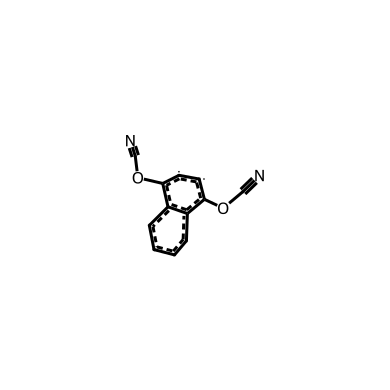 N#COc1[c][c]c(OC#N)c2ccccc12